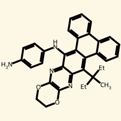 CCC(C)(CC)c1c2nc3c(nc2c(Nc2ccc(N)cc2)c2c4ccccc4c4ccccc4c12)OCCO3